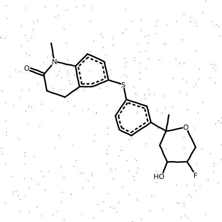 CN1C(=O)CCc2cc(Sc3cccc(C4(C)CC(O)C(F)CO4)c3)ccc21